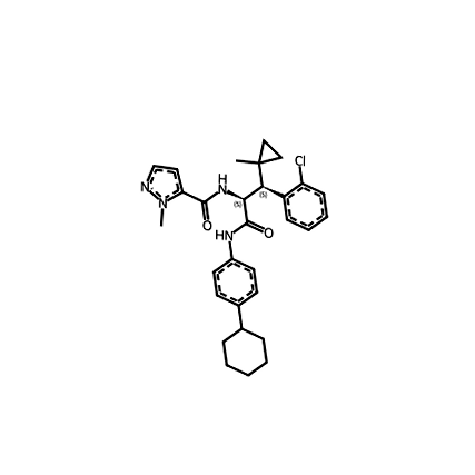 Cn1nccc1C(=O)N[C@H](C(=O)Nc1ccc(C2CCCCC2)cc1)[C@H](c1ccccc1Cl)C1(C)CC1